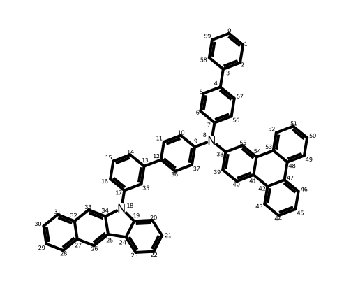 c1ccc(-c2ccc(N(c3ccc(-c4cccc(-n5c6ccccc6c6cc7ccccc7cc65)c4)cc3)c3ccc4c5ccccc5c5ccccc5c4c3)cc2)cc1